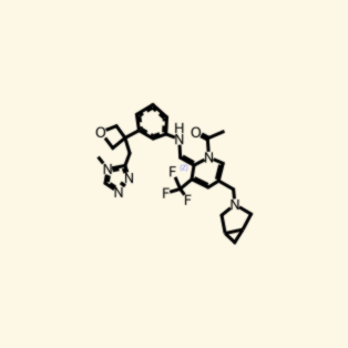 CC(=O)N1C=C(CN2CC3CC3C2)C=C(C(F)(F)F)/C1=C/Nc1cccc(C2(Cc3nncn3C)COC2)c1